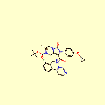 C[C@@H]1Cn2c(c(C(=O)NCc3c(F)cccc3-c3ccncn3)n(-c3ccc(OC4CC4)cc3)c2=O)CN1C(=O)OC(C)(C)C